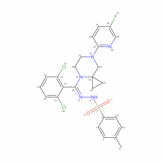 Cc1ccc(S(=O)(=O)N/N=C(/c2c(Cl)cccc2Cl)N2CCN(c3ccc(F)cn3)CC23CC3)cc1